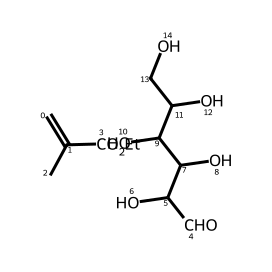 C=C(C)C(=O)OCC.O=CC(O)C(O)C(O)C(O)CO